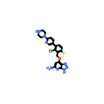 Nc1cc(OCc2c(F)ccc(-c3ccc(N4CCNCC4)nc3)c2Cl)c2nn[nH]c2n1